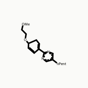 CCCCCc1cnc(C2=CCC(OCCOC)C=C2)nc1